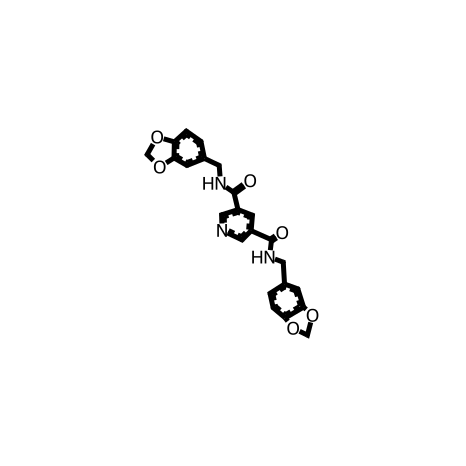 O=C(NCc1ccc2c(c1)OCO2)c1cncc(C(=O)NCc2ccc3c(c2)OCO3)c1